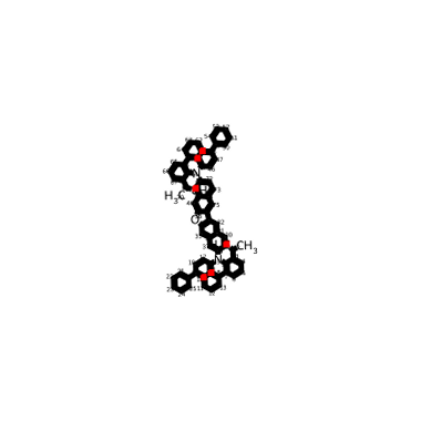 CC(C)c1cccc(-c2ccccc2)c1N(c1ccc(-c2ccccc2)cc1)c1ccc2cc3c(cc2c1)oc1cc2cc(N(c4ccc(-c5ccccc5)cc4)c4c(-c5ccccc5)cccc4C(C)C)ccc2cc13